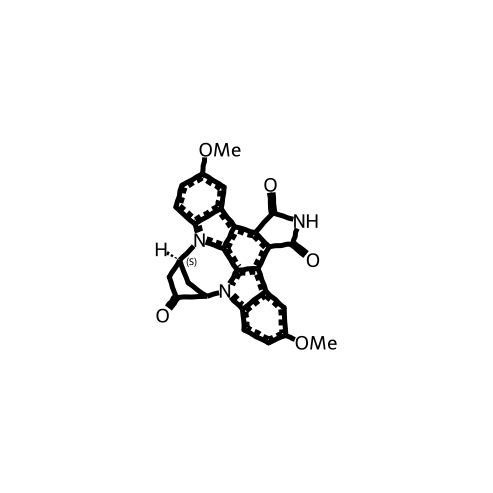 COc1ccc2c(c1)c1c3c(c4c5cc(OC)ccc5n5c4c1n2C1C[C@H]5CC1=O)C(=O)NC3=O